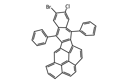 Clc1cc2c(-c3ccccc3)c3c(c(-c4ccccc4)c2cc1Br)-c1cc2cccc4ccc5ccc-3c1c5c42